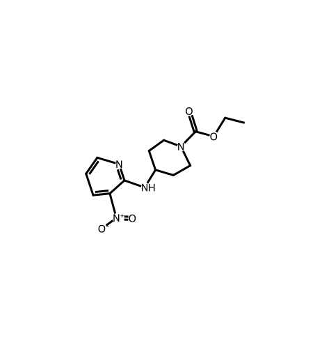 CCOC(=O)N1CCC(Nc2ncccc2[N+](=O)[O-])CC1